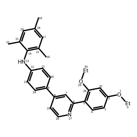 CCOc1ccc(-c2cc(-c3ccc(Nc4c(C)cc(C)cc4C)cc3)ccn2)c(OCC)c1